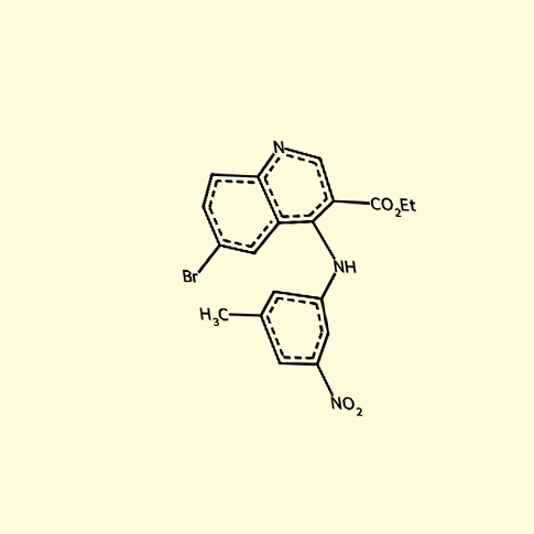 CCOC(=O)c1cnc2ccc(Br)cc2c1Nc1cc(C)cc([N+](=O)[O-])c1